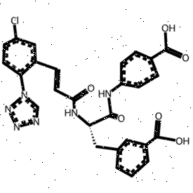 O=C(C=Cc1cc(Cl)ccc1-n1cnnn1)N[C@@H](Cc1cccc(C(=O)O)c1)C(=O)Nc1ccc(C(=O)O)cc1